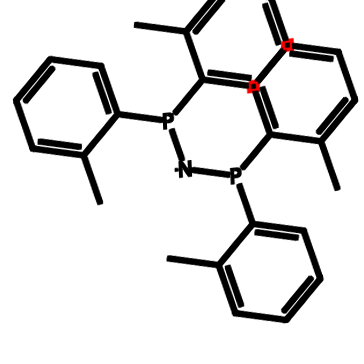 Cc1ccccc1P([N]P(c1ccccc1C)c1ccccc1C)c1ccccc1C